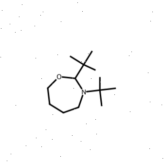 CC(C)(C)C1OCCCCN1C(C)(C)C